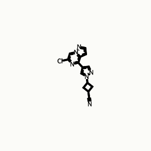 N#CC1CC(n2cc(-c3nc(Cl)cn4nccc34)cn2)C1